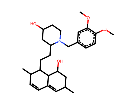 COc1ccc(CN2CCC(O)CC2CCC2C(C)C=CC3=CC(C)CC(O)C32)cc1OC